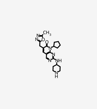 Cc1nnc(Cc2cc3cnc(NC4CCNCC4)nc3n(C3CCCC3)c2=O)o1